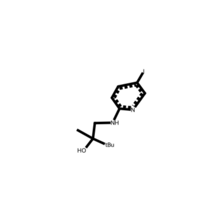 CC(C)(C)C(C)(O)CNc1ccc(I)cn1